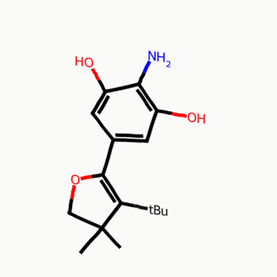 CC(C)(C)C1=C(c2cc(O)c(N)c(O)c2)OCC1(C)C